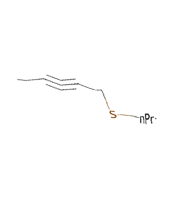 CC#CCS[CH]CC